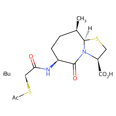 CC[C@H](C)[C@H](SC(C)=O)C(=O)N[C@H]1CC[C@@H](C)[C@H]2SC[C@@H](C(=O)O)N2C1=O